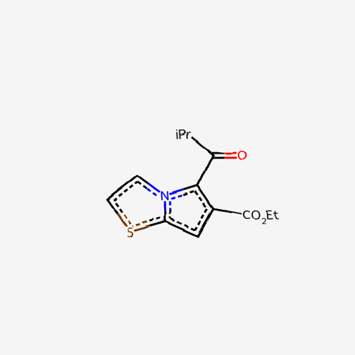 CCOC(=O)c1cc2sccn2c1C(=O)C(C)C